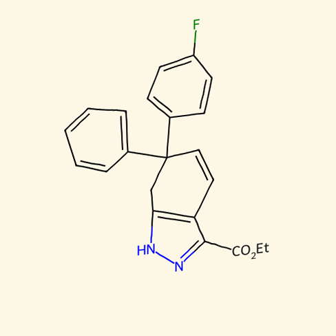 CCOC(=O)c1n[nH]c2c1C=CC(c1ccccc1)(c1ccc(F)cc1)C2